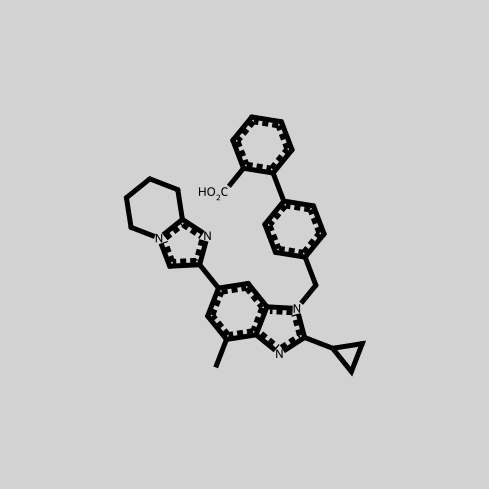 Cc1cc(-c2cn3c(n2)CCCC3)cc2c1nc(C1CC1)n2Cc1ccc(-c2ccccc2C(=O)O)cc1